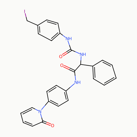 O=C(Nc1ccc(CI)cc1)NC(C(=O)Nc1ccc(-n2ccccc2=O)cc1)c1ccccc1